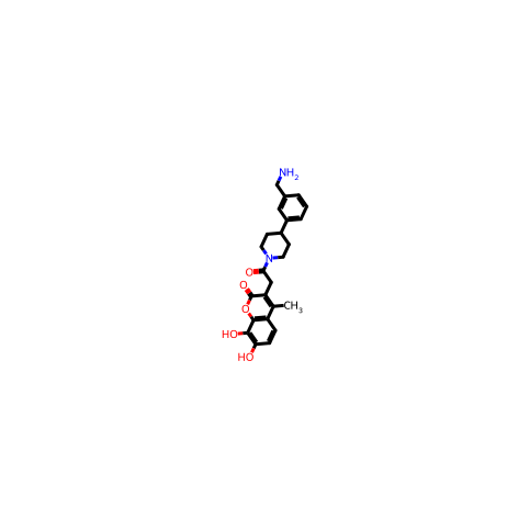 Cc1c(CC(=O)N2CCC(c3cccc(CN)c3)CC2)c(=O)oc2c(O)c(O)ccc12